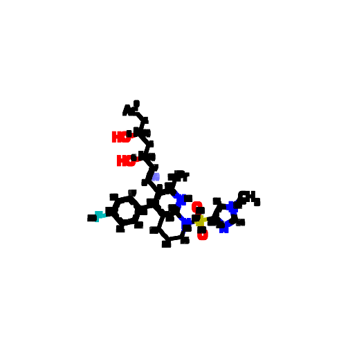 CC(=O)C[C@H](O)C[C@H](O)/C=C/c1c(C(C)C)nc2c(c1-c1ccc(F)cc1)CCCN2S(=O)(=O)c1cn(C)cn1